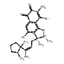 CC1=C(O)c2c(cc(O)c3c2O[C@H](C)[C@@]3(C)C/C=C(/C)C2(C)CCCC2C)C(=O)C1=O